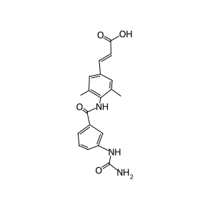 Cc1cc(/C=C/C(=O)O)cc(C)c1NC(=O)c1cccc(NC(N)=O)c1